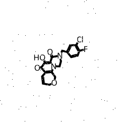 O=C1c2c(O)c(=O)c3c(n2CCN1Cc1ccc(F)c(Cl)c1)COCC=C3